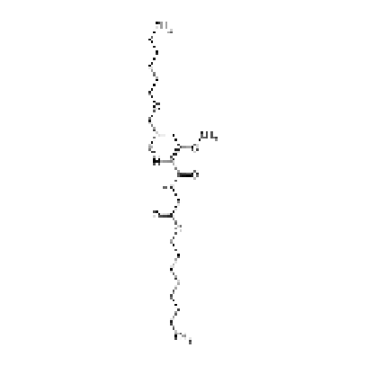 CCCCCCCCOC(=O)CNC(=O)c1ncc(COCCCCCC)cc1OC